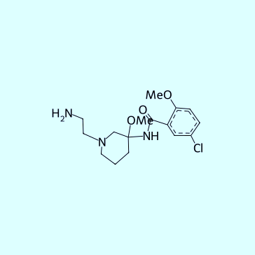 COc1ccc(Cl)cc1C(=O)NC1(OC)CCCN(CCN)C1